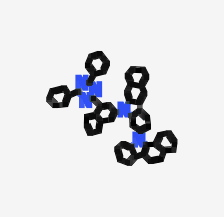 c1ccc(-c2nc(-c3ccccc3)nc(-c3cc(-n4c5cc(-n6c7ccccc7c7ccc8ccccc8c76)ccc5c5cc6ccccc6cc54)cc4ccccc34)n2)cc1